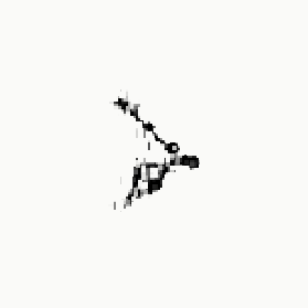 CCC(=O)NCCNC(=O)/N=C(/N)NCCC[C@@H](NC(=O)[C@H](c1cccc(NCCCNC(=O)CCCCCNC(=O)OC(C)(C)C)c1)N1Cc2ccccc2C1)C(=O)NCc1ccc(O)cc1